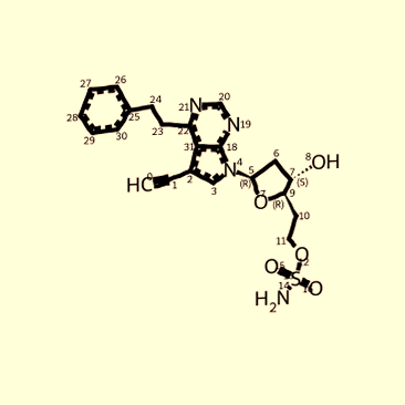 C#Cc1cn([C@H]2C[C@H](O)[C@@H](CCOS(N)(=O)=O)O2)c2ncnc(CCc3ccccc3)c12